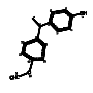 CC(c1ccc(O)cc1)c1ccc(OC=O)cc1